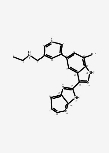 CCNCc1cncc(-c2cc(F)c3[nH]nc(-c4nc5cccnc5[nH]4)c3c2)c1